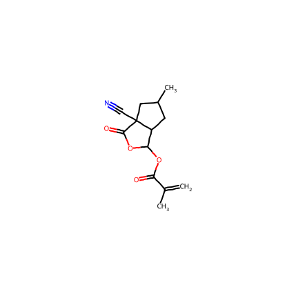 C=C(C)C(=O)OC1OC(=O)C2(C#N)CC(C)CC12